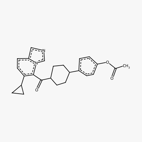 CC(=O)Oc1ccc(C2CCC(C(=O)c3c(C4CC4)ccc4cncn34)CC2)cc1